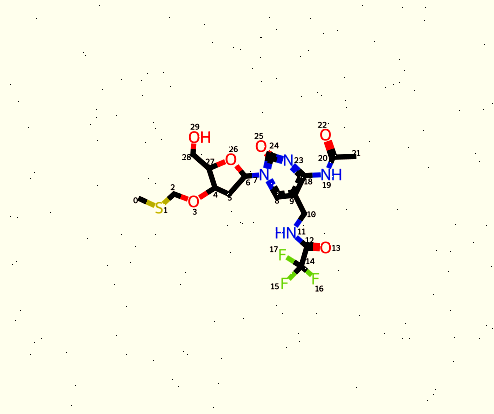 CSCOC1CC(n2cc(CNC(=O)C(F)(F)F)c(NC(C)=O)nc2=O)OC1CO